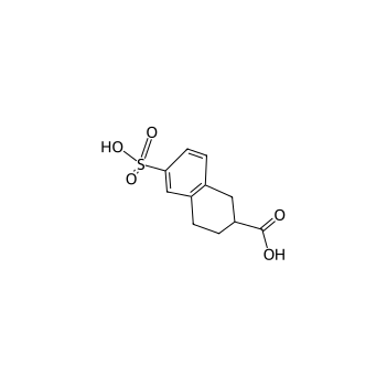 O=C(O)C1CCc2cc(S(=O)(=O)O)ccc2C1